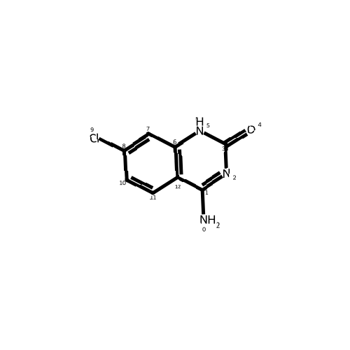 Nc1nc(=O)[nH]c2cc(Cl)ccc12